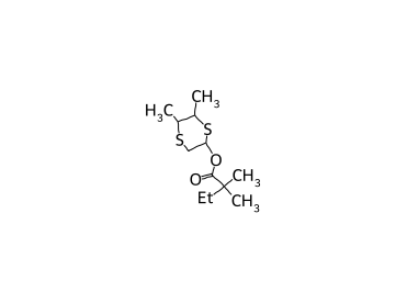 CCC(C)(C)C(=O)OC1CSC(C)C(C)S1